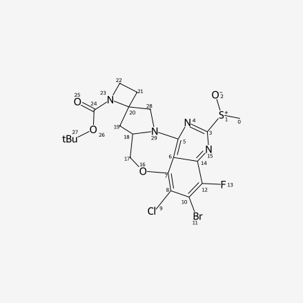 C[S+]([O-])c1nc2c3c(c(Cl)c(Br)c(F)c3n1)OCC1CC3(CCN3C(=O)OC(C)(C)C)CN21